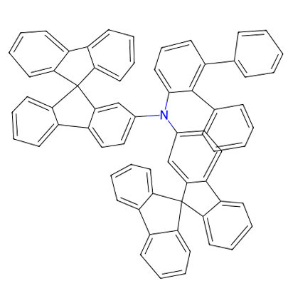 c1ccc(-c2cccc(N(c3ccc4c(c3)C3(c5ccccc5-c5ccccc53)c3ccccc3-4)c3ccc4c(c3)C3(c5ccccc5-c5ccccc53)c3ccccc3-4)c2-c2ccccc2)cc1